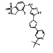 CC(C)(C)c1cc(C2CCC(c3cc(Nc4ccc5c(c4F)CNS5(=O)=O)n[nH]3)C2)ccn1